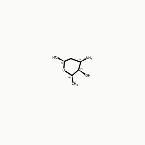 C[C@H]1O[C@@H](O)C[C@@H](N)[C@H]1O